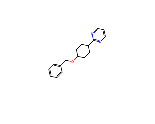 c1ccc(COC2CCC(c3ncccn3)CC2)cc1